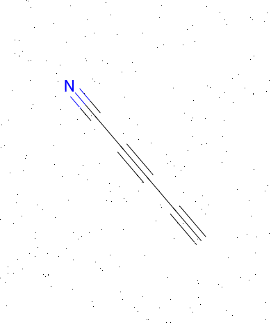 C#CC#CC#N